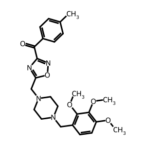 COc1ccc(CN2CCN(Cc3nc(C(=O)c4ccc(C)cc4)no3)CC2)c(OC)c1OC